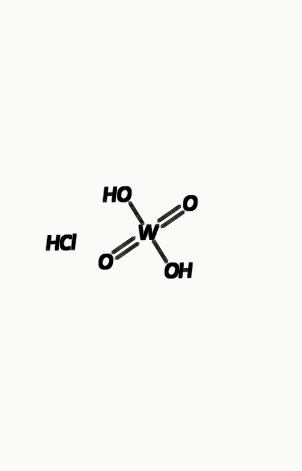 Cl.[O]=[W](=[O])([OH])[OH]